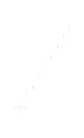 CCCCCCCCCCCCOC(=O)CCOC(C)(C)C